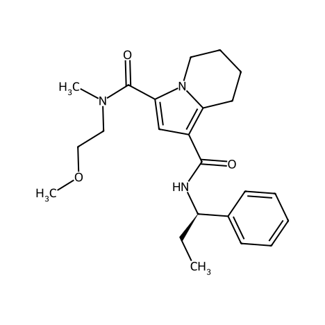 CC[C@@H](NC(=O)c1cc(C(=O)N(C)CCOC)n2c1CCCC2)c1ccccc1